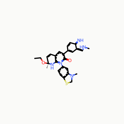 CCO[C@@]1(C)C=Cc2cc(C3=C/C(=C/NC)C(=N)C=C3)c(=O)n(-c3ccc4c(c3)N(C)CS4)c2N1